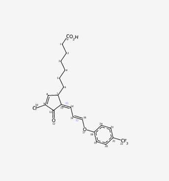 O=C(O)CCCCCCC1C=C(Cl)C(=O)/C1=C\C=C\Oc1ccc(C(F)(F)F)cc1